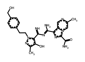 Cc1cn2c(C(N)=O)nc(/C(N)=N/C(=N)c3c(O)c(C)nn3CCc3ccc(CO)cc3)c2cn1